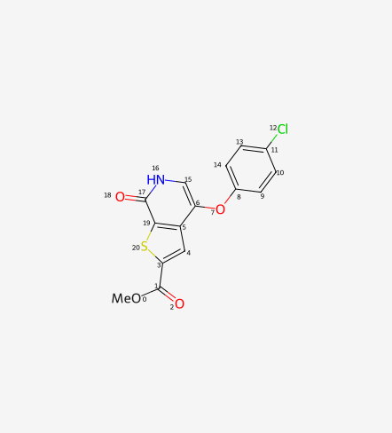 COC(=O)c1cc2c(Oc3ccc(Cl)cc3)c[nH]c(=O)c2s1